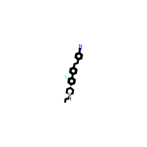 CCC[Si@H]1CC[C@H](c2ccc(-c3ccc(CCc4ccc(C#N)cc4)cc3)c(F)c2)CC1